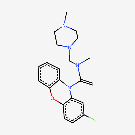 C=C(N(C)CN1CCN(C)CC1)N1c2ccccc2Oc2ccc(F)cc21